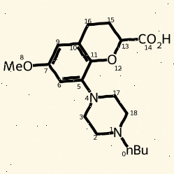 CCCCN1CCN(c2cc(OC)cc3c2OC(C(=O)O)CC3)CC1